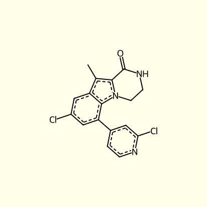 Cc1c2n(c3c(-c4ccnc(Cl)c4)cc(Cl)cc13)CCNC2=O